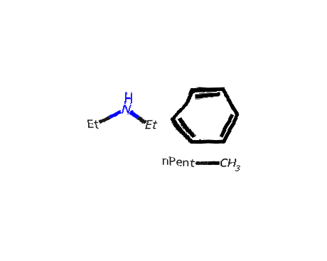 CCCCCC.CCNCC.c1ccccc1